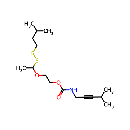 CC(C)C#CCNC(=O)OCCOC(C)SSCCC(C)C